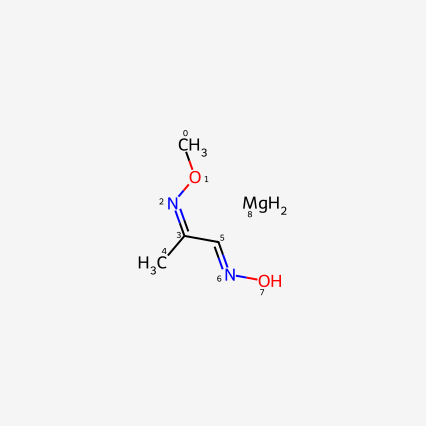 CON=C(C)C=NO.[MgH2]